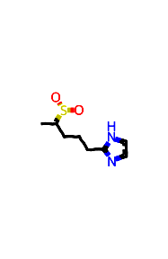 CC(CCCc1ncc[nH]1)=S(=O)=O